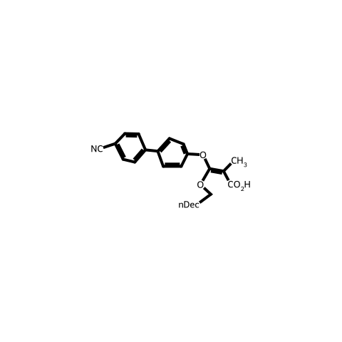 CCCCCCCCCCCO/C(Oc1ccc(-c2ccc(C#N)cc2)cc1)=C(/C)C(=O)O